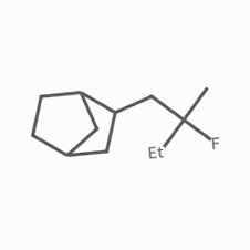 CCC(C)(F)CC1CC2CCC1C2